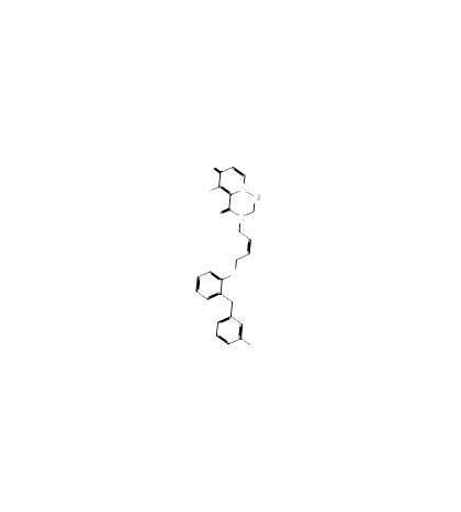 O=C1c2c(O)c(=O)ccn2NCN1C/C=C\COc1ccccc1Cc1cccc(F)c1